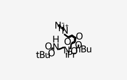 CCCCOc1c(C(=O)N(CCNC(=O)OC(C)(C)C)C(C)C)oc(CN=[N+]=[N-])cc1=O